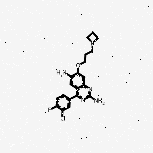 Nc1nc(-c2ccc(F)c(Cl)c2)c2cc(N)c(OCCCN3CCC3)cc2n1